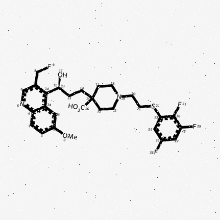 COc1ccc2ncc(CF)c([C@@H](O)CCC3(C(=O)O)CCN(CCSc4cc(F)cc(F)c4F)CC3)c2c1